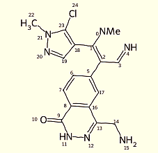 CN/C(=C(\C=N)c1ccc2c(=O)[nH]nc(CN)c2c1)c1cnn(C)c1Cl